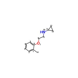 Cc1ccccc1OCCNC1CC1